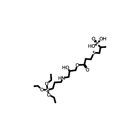 CCO[Si](CCCNCC(O)COC(=O)CCSCC(C)P(=O)(O)O)(OCC)OCC